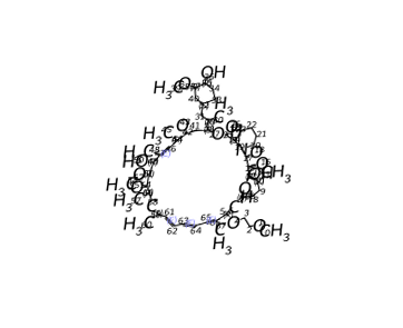 COCCO[C@@H]1C[C@@H]2CC[C@@H](C)[C@@](O)(O2)C(=O)C(=O)N2CCCC[C@H]2C(=O)O[C@H]([C@H](C)C[C@@H]2CC[C@@H](O)[C@H](OC)C2)CC(=O)[C@H](C)/C=C(\C)[C@@H](O)[C@@H](OC)C(=O)[C@H](C)C[C@H](C)/C=C/C=C/C=C/1C